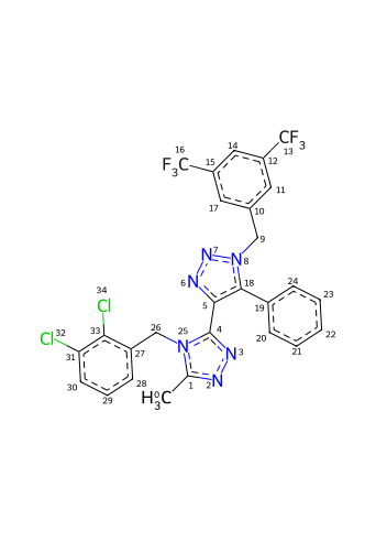 Cc1nnc(-c2nnn(Cc3cc(C(F)(F)F)cc(C(F)(F)F)c3)c2-c2ccccc2)n1Cc1cccc(Cl)c1Cl